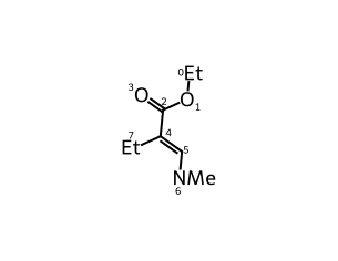 CCOC(=O)C(=CNC)CC